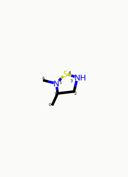 CC1CNSN1C